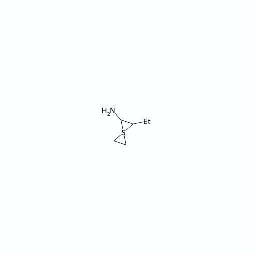 CCC1C(N)S12CC2